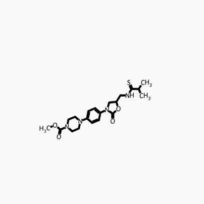 COC(=O)N1CCN(c2ccc(N3CC(CNC(=S)C(C)C)OC3=O)cc2)CC1